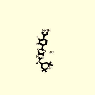 CN(c1nc2sc(-c3ccc(-c4cn[nH]c4)c(F)c3F)nc2s1)C1CC(C)(C)NC(C)(C)C1.Cl